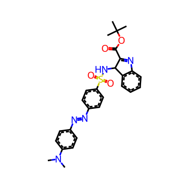 CN(C)c1ccc(N=Nc2ccc(S(=O)(=O)NC3C(C(=O)OC(C)(C)C)=Nc4ccccc43)cc2)cc1